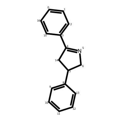 c1ccc(C2=NCC(c3ccccc3)C2)cc1